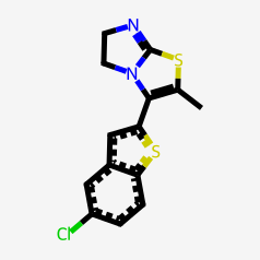 CC1=C(c2cc3cc(Cl)ccc3s2)N2CCN=C2S1